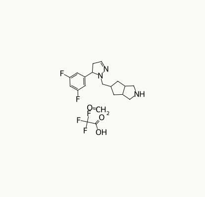 C=O.Fc1cc(F)cc(C2CC=NN2CC2CC3CNCC3C2)c1.O=C(O)C(F)(F)F